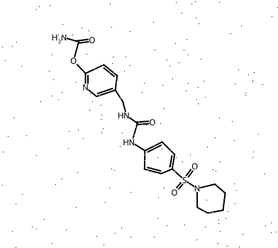 NC(=O)Oc1ccc(CNC(=O)Nc2ccc(S(=O)(=O)N3CCCCC3)cc2)cn1